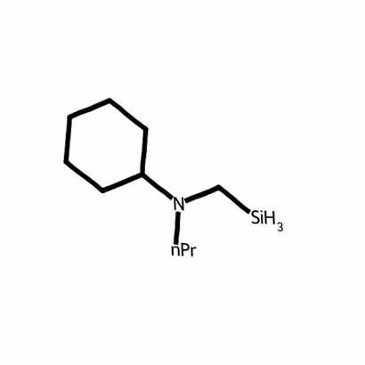 CCCN(C[SiH3])C1CCCCC1